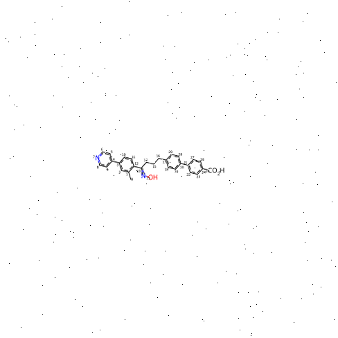 Cc1cc(-c2ccncc2)ccc1C(CCCc1ccc(-c2ccc(C(=O)O)cc2)cc1)=NO